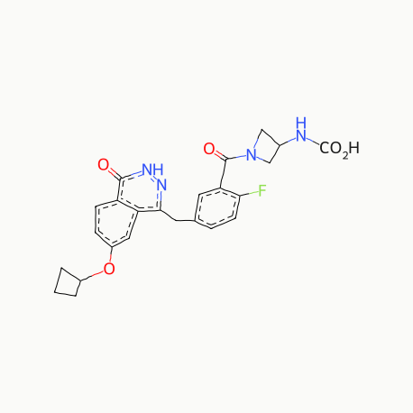 O=C(O)NC1CN(C(=O)c2cc(Cc3n[nH]c(=O)c4ccc(OC5CCC5)cc34)ccc2F)C1